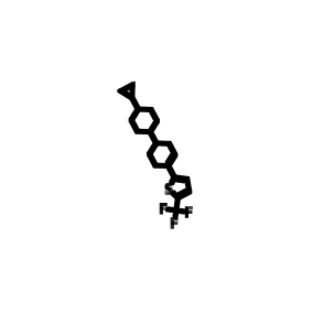 FC(F)(F)c1ccc(C2=CCC(C3CCC(C4CC4)CC3)CC2)s1